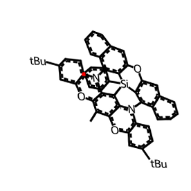 Cc1c2oc3cc(C(C)(C)C)ccc3n3c2c2c4c1oc1cc(C(C)(C)C)ccc1n4-c1c4c(cc5ccccc15)Oc1cc5ccccc5c-3c1[Si]42c1ccccc1